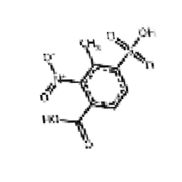 Cc1c(S(=O)(=O)O)ccc(C(=O)O)c1[N+](=O)[O-]